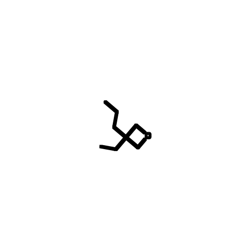 CCCC1(CC)COC1